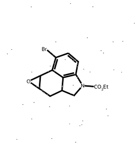 CCOC(=O)N1CC2CC3OC3c3c(Br)ccc1c32